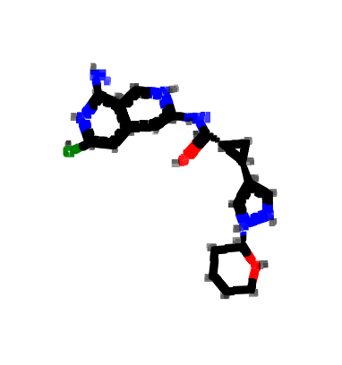 Nc1nc(Cl)cc2cc(NC(=O)[C@@H]3C[C@H]3c3cnn([C@H]4CCCCO4)c3)ncc12